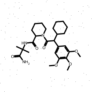 COc1cc(C(C(=O)N2CCCCC2C(=O)NC(C)(C)C(N)=O)C2CCCCC2)cc(OC)c1OC